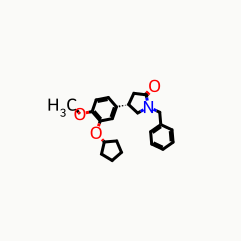 COc1ccc([C@@H]2CC(=O)N(Cc3ccccc3)C2)cc1OC1CCCC1